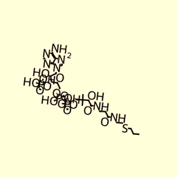 CCCSCCNC(=O)CCNC(=O)C(O)C(C)(C)COP(=O)(O)OP(=O)(O)OCC1OC(n2cnc3c(N)ncnc32)[C@@H](O)C1OP(=O)(O)O